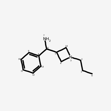 CCCN1CC(C(N)c2ccccc2)C1